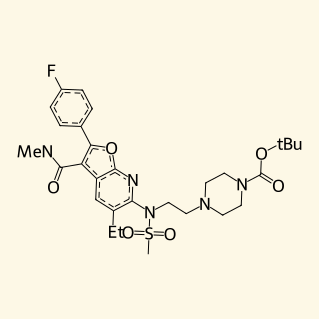 CCc1cc2c(C(=O)NC)c(-c3ccc(F)cc3)oc2nc1N(CCN1CCN(C(=O)OC(C)(C)C)CC1)S(C)(=O)=O